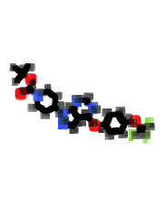 CC(C)(C)OC(=O)N1CCC(n2ncc3c(Oc4ccc(OC(F)(F)F)cc4)ncnc32)CC1